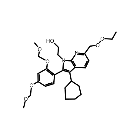 CCOOCc1ccc2c(C3CCCCC3)c(-c3ccc(OCOC)cc3OCOC)n(CCO)c2n1